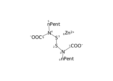 CCCCCN(SSN(CCCCC)C(=O)[O-])C(=O)[O-].[Zn+2]